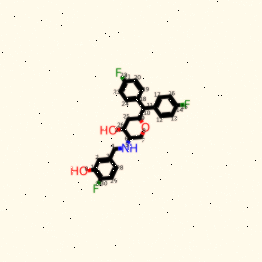 Oc1cc(CNC2COC(C(c3ccc(F)cc3)c3ccc(F)cc3)CC2O)ccc1F